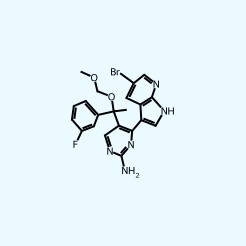 COCOC(C)(c1cccc(F)c1)c1cnc(N)nc1-c1c[nH]c2ncc(Br)cc12